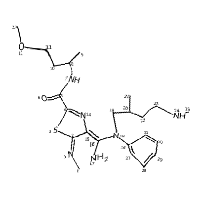 C/N=C1/SC(C(=O)NC(C)CCOC)=N/C1=C(/N)N(CC(C)CCNC)c1ccccc1